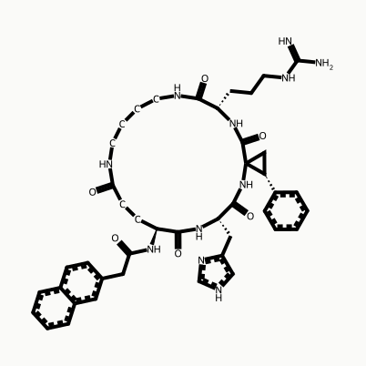 N=C(N)NCCC[C@@H]1NC(=O)C2(C[C@@H]2c2ccccc2)NC(=O)[C@H](Cc2c[nH]cn2)NC(=O)[C@@H](NC(=O)Cc2ccc3ccccc3c2)CCC(=O)NCCCCNC1=O